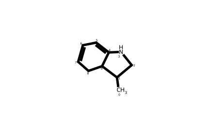 CC1CNC2=CC=CCC21